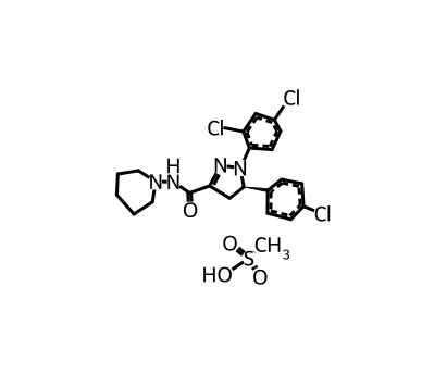 CS(=O)(=O)O.O=C(NN1CCCCC1)C1=NN(c2ccc(Cl)cc2Cl)[C@@H](c2ccc(Cl)cc2)C1